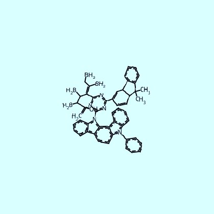 BC/C(B)=C(/c1nc(C2=CC3c4ccccc4C(C)(C)C3C=C2)nc(-n2c3ccccc3c3ccc4c(c5ccccc5n4-c4ccccc4)c32)n1)C(B)C(B)C(=C)O